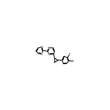 Fc1ccc(C2CC2c2ccnc(-c3ncccn3)n2)cc1F